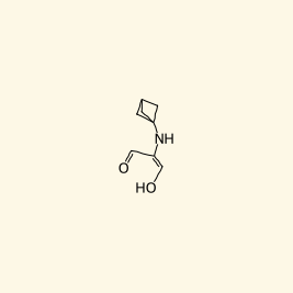 O=CC(=CO)NC12CC(C1)C2